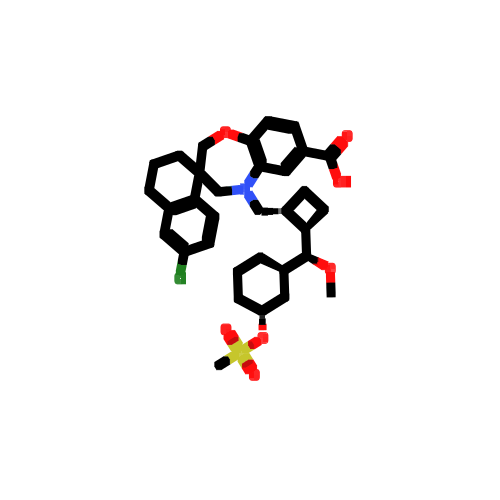 CO[C@@H]([C@@H]1CCC[C@@H](OS(C)(=O)=O)C1)[C@@H]1CC[C@H]1CN1CC2(CCCc3cc(Cl)ccc32)COc2ccc(C(=O)O)cc21